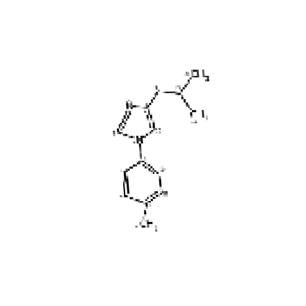 Cc1ccc(-n2cnc(CC(C)C)c2)cc1